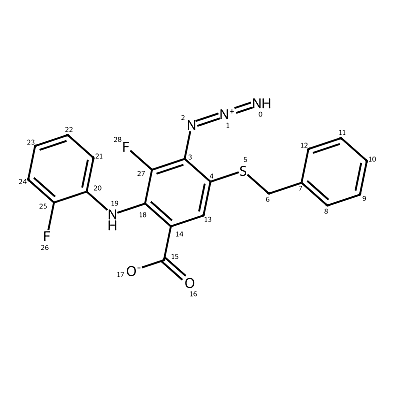 N=[N+]=Nc1c(SCc2ccccc2)cc(C(=O)[O-])c(Nc2ccccc2F)c1F